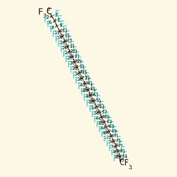 FC(F)(F)C(F)(F)C(F)(F)C(F)(F)C(F)(F)C(F)(F)C(F)(F)C(F)(F)C(F)(F)C(F)(F)C(F)(F)C(F)(F)C(F)(F)C(F)(F)C(F)(F)C(F)(F)C(F)(F)C(F)(F)C(F)(F)C(F)(F)C(F)(F)C(F)(F)C(F)(F)C(F)(F)C(F)(F)C(F)(F)C(F)(F)C(F)(F)C(F)(F)C(F)(F)F